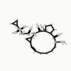 CN1CCCC/C=C\C2C[C@@]2(C(=O)NS(=O)(=O)C2CC2)NC(=O)[C@@H]2CCCC2C1=O